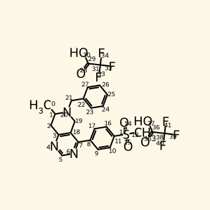 CC1Cc2ncnc(-c3ccc(S(C)(=O)=O)cc3)c2CN1Cc1ccccc1.O=C(O)C(F)(F)F.O=C(O)C(F)(F)F